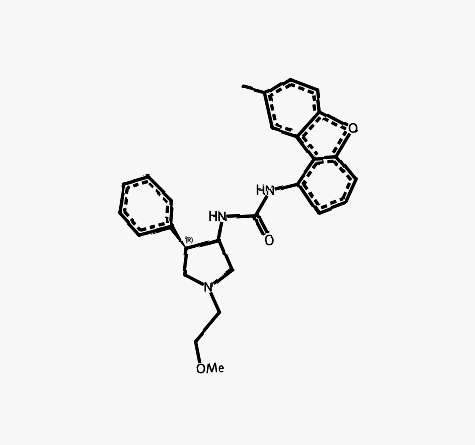 COCCN1CC(NC(=O)Nc2cccc3oc4ccc(C)cc4c23)[C@H](c2ccccc2)C1